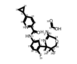 CC1(c2cc(NC(=O)c3ccc(C4CC4)cn3)ccc2F)N=C(N)COCC1(F)F.O=CO